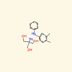 Cc1ccc(Nc2ccccc2)cc1C.NC(CO)(CO)CO